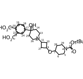 CC(C)(C)OC(=O)N1CCC(OC2CC(N3CCC(O)(c4ccc(C(=O)O)c(C(=O)O)c4)CC3)C2)CC1